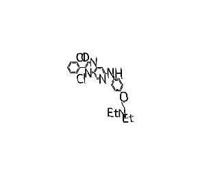 CCN(CC)CCOc1ccc(Nc2cc3c(cn2)nc(-c2c(Cl)cccc2Cl)c(=O)n3C)cc1